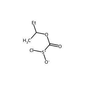 CCC(C)OC(=O)[S+]([O-])Cl